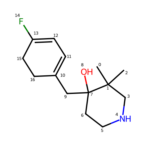 CC1(C)CNCCC1(O)CC1=CC=C(F)CC1